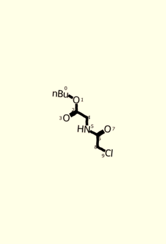 CCCCOC(=O)CNC(=O)CCl